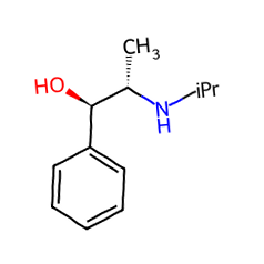 CC(C)N[C@@H](C)[C@H](O)c1ccccc1